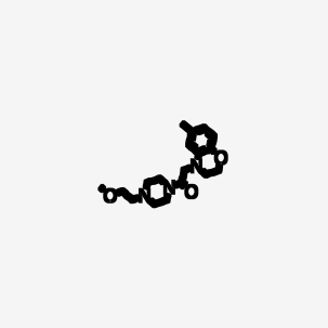 COCCN1CCN(C(=O)CN2CCOc3ccc(C)cc32)CC1